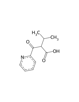 CC(C)C(C(=O)O)C(=O)c1ccccn1